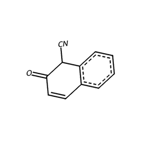 N#CC1C(=O)C=Cc2ccccc21